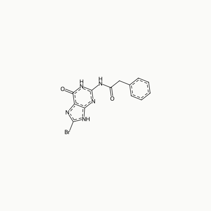 O=C(Cc1ccccc1)Nc1nc2[nH]c(Br)nc2c(=O)[nH]1